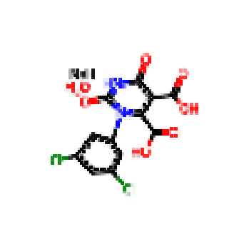 O.O=C(O)c1c(C(=O)O)n(-c2cc(Cl)cc(Cl)c2)c(=O)[nH]c1=O.[NaH]